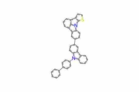 c1ccc(-c2ccc(-n3c4ccccc4c4cc(-c5ccc6c(c5)c5cccc7c8ccsc8n6c57)ccc43)cc2)cc1